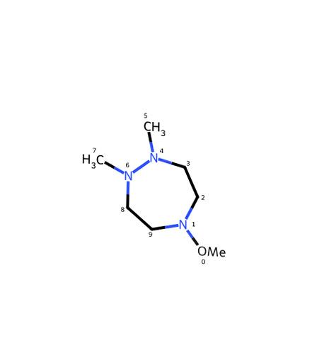 CON1CCN(C)N(C)CC1